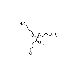 CCCCO[SiH](OCCCC)C(C)CCCCl